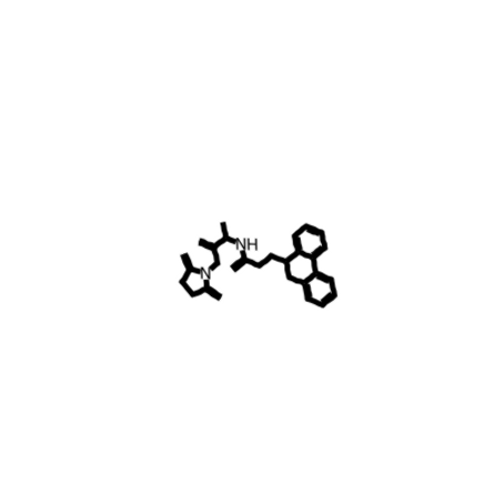 C=C(CCC1Cc2ccccc2-c2ccccc21)NC(C)C(=C)CN1C(=C)CCC1=C